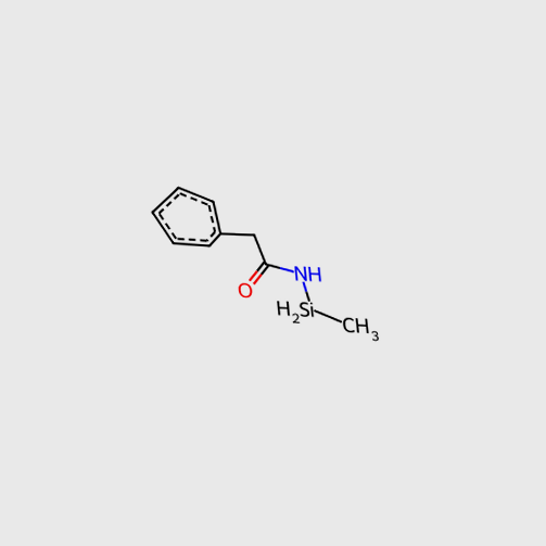 C[SiH2]NC(=O)Cc1ccccc1